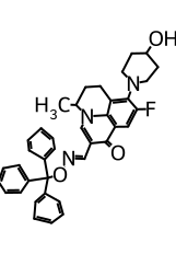 CC1CCc2c(N3CCC(O)CC3)c(F)cc3c(=O)c(/C=N/OC(c4ccccc4)(c4ccccc4)c4ccccc4)cn1c23